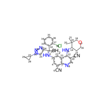 BC(Nc1cc(C#N)c2ncc(C#N)c(NC3CCOCC3(C)C)c2c1)(c1cn(C2CC2)nn1)c1ccccc1Cl